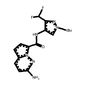 CC(C)(C)n1cc(NC(=O)c2ccc3ccc(N)nn23)c(C(F)F)n1